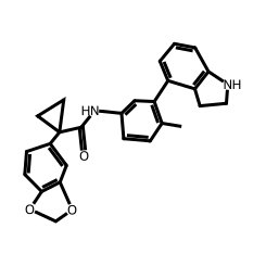 Cc1ccc(NC(=O)C2(c3ccc4c(c3)OCO4)CC2)cc1-c1cccc2c1CCN2